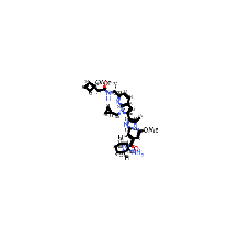 COc1cc(C(=O)N2[C@H]3CC[C@@H]2[C@H](N)C3)cc2nc(-c3cc4ccc([C@@H](C)NC(=O)CC5(OC)CCC5)nc4n3CC3CC3)c(C)n12